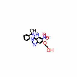 CC(Nc1ncnc2cc(OCCO)c([N+](=O)[O-])cc12)c1ccccc1